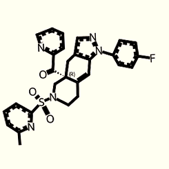 Cc1cccc(S(=O)(=O)N2CCC3=Cc4c(cnn4-c4ccc(F)cc4)C[C@]3(C(=O)c3ccccn3)C2)n1